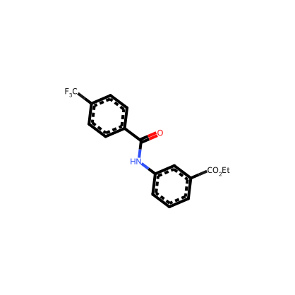 CCOC(=O)c1cccc(NC(=O)c2ccc(C(F)(F)F)cc2)c1